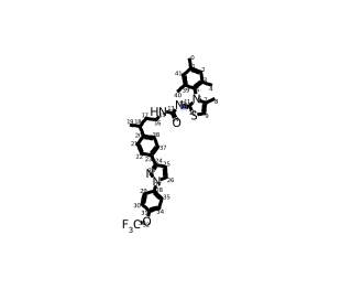 Cc1cc(C)c(-n2c(C)cs/c2=N\C(=O)NCCC(C)c2ccc(-c3ccn(-c4ccc(OC(F)(F)F)cc4)n3)cc2)c(C)c1